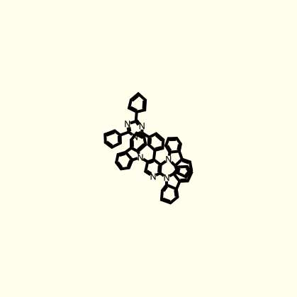 c1ccc(-c2nc(-c3ccccc3)nc(-c3cccc(-c4c(-n5c6ccccc6c6ccccc65)cnc(-n5c6ccccc6c6ccccc65)c4-n4c5ccccc5c5ccccc54)c3)n2)cc1